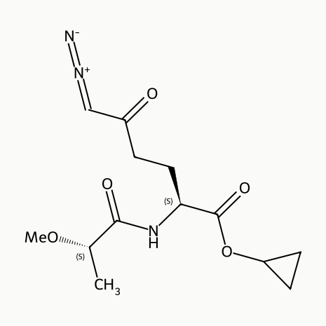 CO[C@@H](C)C(=O)N[C@@H](CCC(=O)C=[N+]=[N-])C(=O)OC1CC1